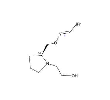 CC(C)/C=N/OC[C@@H]1CCCN1CCO